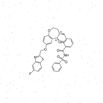 O=C(NS(=O)(=O)c1ccccc1)c1cccc(C[C@@H]2CCOc3ccc(OCc4nc5cc(F)ccc5s4)cc3[C@@H]2O)c1